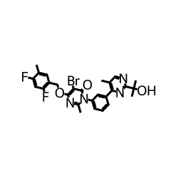 Cc1cc(COc2nc(C)n(-c3cccc(-c4nc(C(C)(C)O)ncc4C)c3)c(=O)c2Br)c(F)cc1F